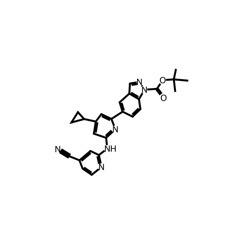 CC(C)(C)OC(=O)n1ncc2cc(-c3cc(C4CC4)cc(Nc4cc(C#N)ccn4)n3)ccc21